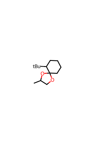 CC1COC2(CCCCC2C(C)(C)C)O1